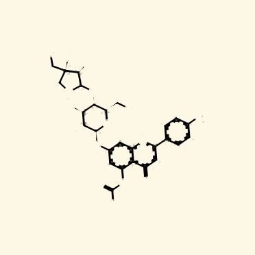 CC(=O)Oc1cc(O[C@@H]2O[C@H](CO)[C@@H](OC3OC[C@](O)(CO)[C@H]3O)[C@H](O)[C@H]2O)cc2oc(-c3ccc(O)cc3)cc(=O)c12